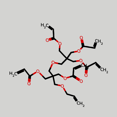 C=CCOCC(COCC(COC(=O)C=C)(COC(=O)C=C)COC(=O)C=C)(COC(=O)C=C)COC(=O)C=C